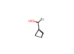 C[CH]C(O)C1CCC1